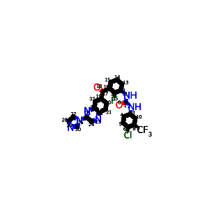 O=C(Nc1ccc(Cl)c(C(F)(F)F)c1)Nc1cccc(C(=O)c2ccc3ncc(-n4ccnc4)nc3c2)c1F